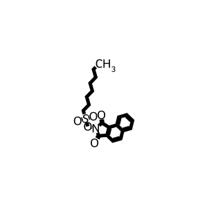 CCCCCCCCS(=O)(=O)ON1C(=O)c2ccc3ccccc3c2C1=O